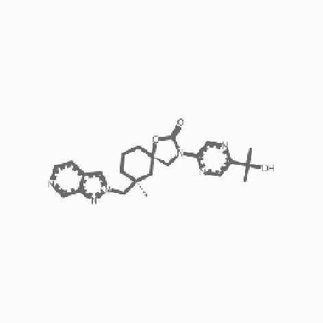 CC(C)(O)c1cnc(N2C[C@@]3(CCC[C@](C)(Cn4cc5ccncc5n4)C3)OC2=O)cn1